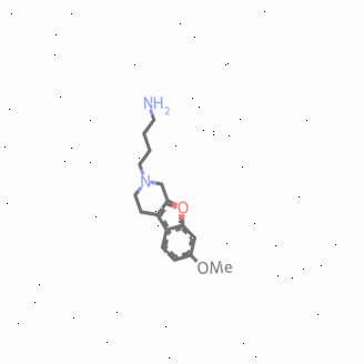 COc1ccc2c3c(oc2c1)CN(CCCCN)CC3